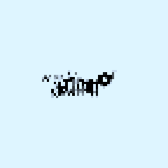 CNN/C(=C\Nc1ccc(F)cc1)CNC(=O)C(Cc1cscn1)NC